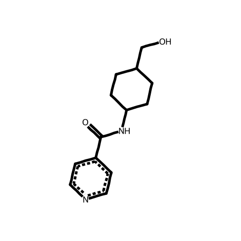 O=C(NC1CCC(CO)CC1)c1ccncc1